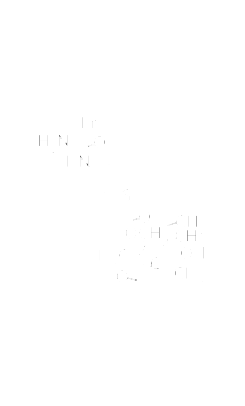 C=C[C@]1(C)C[C@@H](OC(=O)CSC2CCC(NC(=O)C(N)C(C)C)CC2)[C@]2(C)C(C)CCC3(CCC(=O)C32)[C@@H](C)C1O